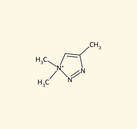 CC1=C[N+](C)(C)N=N1